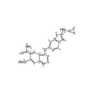 COc1cc2nccc(Oc3ccc4nc(NC5CC5)sc4c3)c2cc1C(N)=O